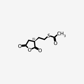 CC(=O)SCC[C@@H]1CC(=O)OC1=O